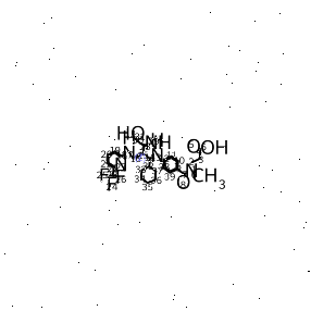 CN(CCC(=O)O)C(=O)c1ccc(NC(/C(=C/Nc2cccc(C(F)(F)F)n2)C(=N)CO)C2CCCCC2)cc1